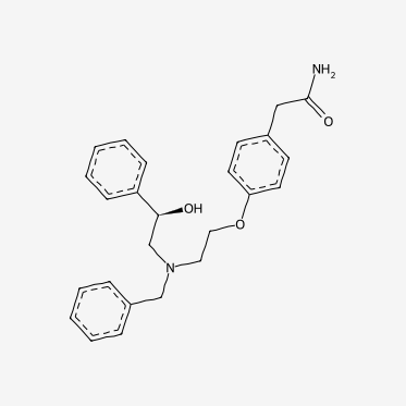 NC(=O)Cc1ccc(OCCN(Cc2ccccc2)C[C@H](O)c2ccccc2)cc1